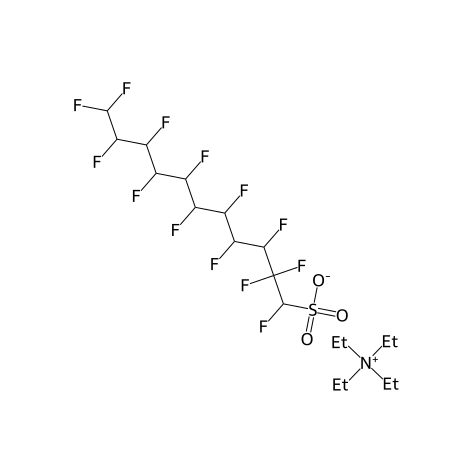 CC[N+](CC)(CC)CC.O=S(=O)([O-])C(F)C(F)(F)C(F)C(F)C(F)C(F)C(F)C(F)C(F)C(F)C(F)F